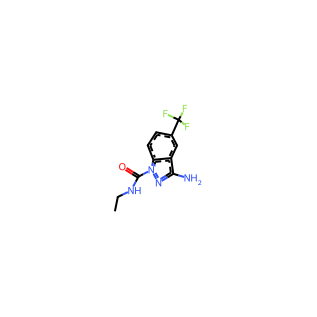 CCNC(=O)n1nc(N)c2cc(C(F)(F)F)ccc21